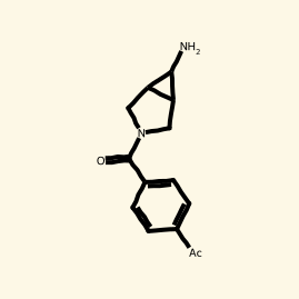 CC(=O)c1ccc(C(=O)N2CC3C(N)C3C2)cc1